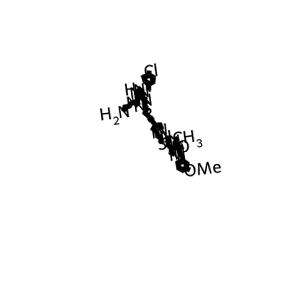 COc1cccc(Cn2ncc3c4sc(Cn5cc(C#CCSc6nc(NCCN)c7nnn(Cc8ccc(Cl)cc8)c7n6)cn5)nc4n(C)c3c2=O)c1